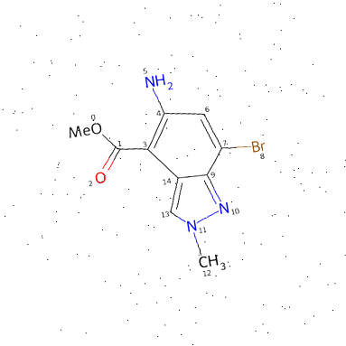 COC(=O)c1c(N)cc(Br)c2nn(C)cc12